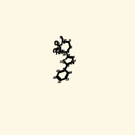 CN1CC[C@@H](c2cnc(-c3ccccc3)s2)NS1(=O)=O